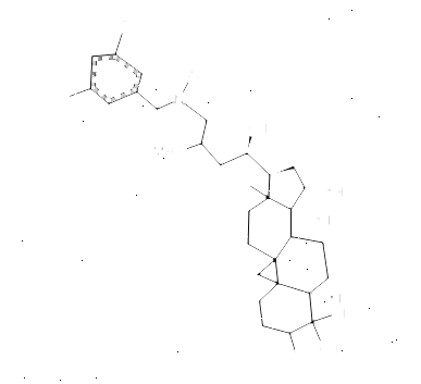 COC(C[C@@H](C)[C@H]1C[C@H](O)[C@@]2(C)C3CC[C@H]4C(C)(C)C(O)CCC45CC35CCC12C)CN(Cc1cc(F)cc(F)c1)C(C)=O